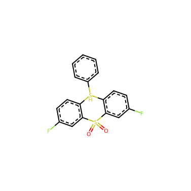 O=S1(=O)c2cc(F)ccc2[SH](c2ccccc2)c2ccc(F)cc21